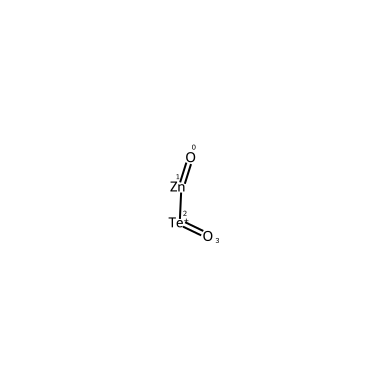 [O]=[Zn][Te+]=O